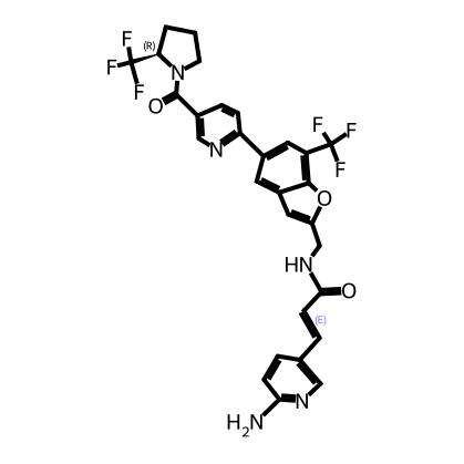 Nc1ccc(/C=C/C(=O)NCc2cc3cc(-c4ccc(C(=O)N5CCC[C@@H]5C(F)(F)F)cn4)cc(C(F)(F)F)c3o2)cn1